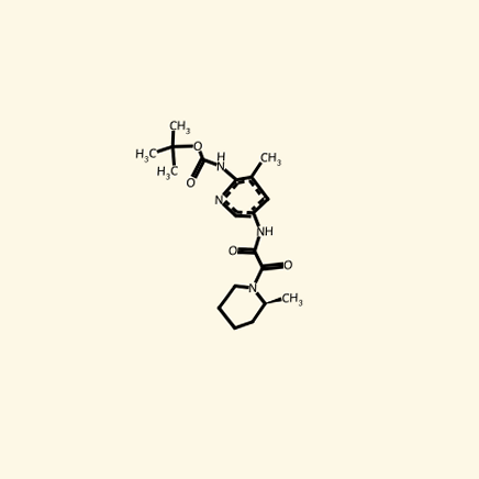 Cc1cc(NC(=O)C(=O)N2CCCC[C@@H]2C)cnc1NC(=O)OC(C)(C)C